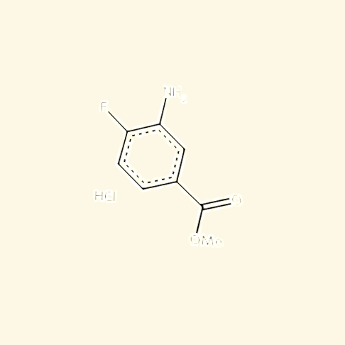 COC(=O)c1ccc(F)c(N)c1.Cl